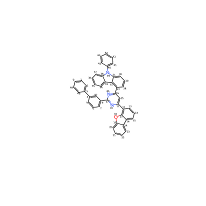 c1ccc(-c2cccc(-c3nc(-c4cccc5c4oc4ccccc45)cc(-c4cccc5c4c4ccccc4n5-c4ccccc4)n3)c2)cc1